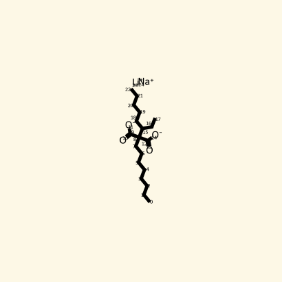 CCCCCCCCC(C(=O)[O-])(C(=O)[O-])C(CC)CCCCC.[Li+].[Na+]